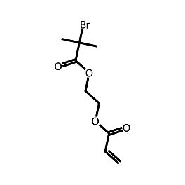 C=CC(=O)OCCOC(=O)C(C)(C)Br